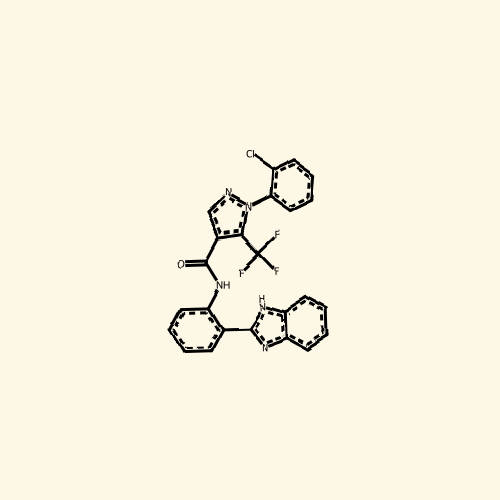 O=C(Nc1ccccc1-c1nc2ccccc2[nH]1)c1cnn(-c2ccccc2Cl)c1C(F)(F)F